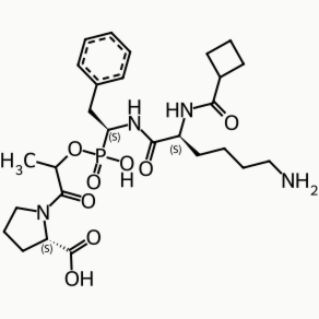 CC(OP(=O)(O)[C@@H](Cc1ccccc1)NC(=O)[C@H](CCCCN)NC(=O)C1CCC1)C(=O)N1CCC[C@H]1C(=O)O